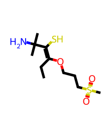 CC/C(OCCCS(C)(=O)=O)=C(/S)C(C)(C)N